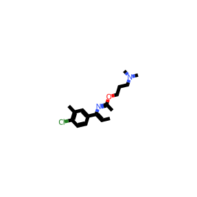 C/C=C(\N=C(/C)OCCCN(C)C)c1ccc(Cl)c(C)c1